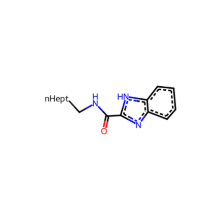 CCCCCCCCNC(=O)c1nc2ccccc2[nH]1